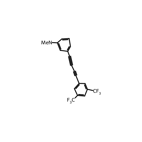 CNc1cccc(C#CC#Cc2cc(C(F)(F)F)cc(C(F)(F)F)c2)c1